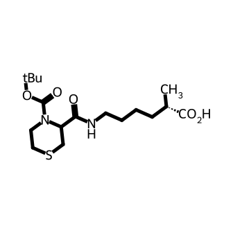 C[C@@H](CCCCNC(=O)C1CSCCN1C(=O)OC(C)(C)C)C(=O)O